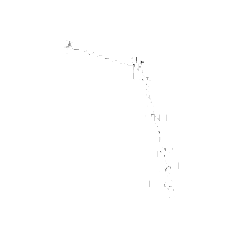 O=C[C@H](CSCC(=O)NCCNC(=O)COCCOCCNC(=O)COCCOCCNC(=O)CC[C@@H](NC(=O)CCCCCCCCCCCCCCCS(=O)(=O)O)C(=O)O)NP